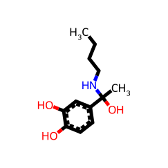 CCCCNC(C)(O)c1ccc(O)c(O)c1